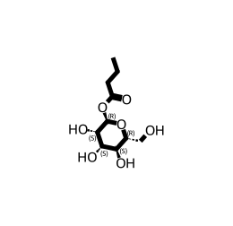 CCCC(=O)O[C@H]1O[C@H](CO)[C@@H](O)[C@H](O)[C@@H]1O